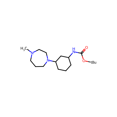 CN1CCCN(C2CCCC(NC(=O)OC(C)(C)C)C2)CC1